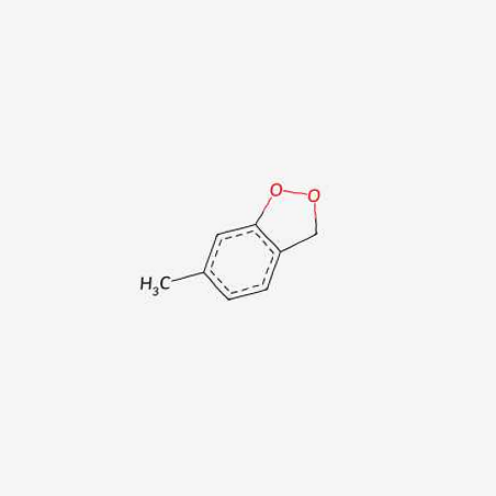 Cc1ccc2c(c1)OOC2